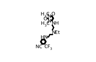 CCN(CCCNc1ccc(C#N)c(C(F)(F)F)c1)CCCNc1cc(=O)n(C)c(=O)n1C